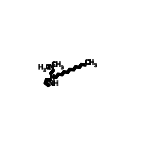 CCCCCCCCCCCCN(CCN(C)C)c1ccc[nH]1